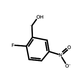 O=[N+]([O-])c1ccc(F)c([CH]O)c1